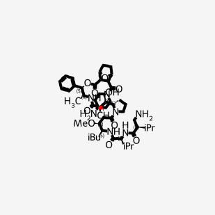 CC[C@H](C)C(NC(=O)[C@@H](NC(=O)[C@@H](CN)C(C)C)C(C)C)[C@@H](CC(=O)N1CCC[C@H]1[C@H](CO)[C@@H](C)C(=O)N[C@H](C)[C@@H](OC(=O)C1C2CCC(O2)C1C(=O)N1CCC(N)CC1)c1ccccc1)OC